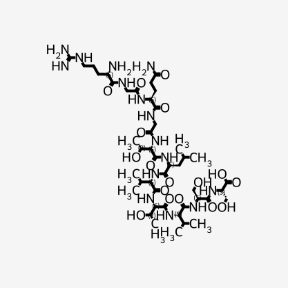 CC(C)C[C@H](NC(=O)[C@@H](NC(=O)CNC(=O)[C@H](CCC(N)=O)NC(=O)CNC(=O)[C@@H](N)CCCNC(=N)N)[C@@H](C)O)C(=O)N[C@H](C(=O)N[C@H](C(=O)N[C@H](C(=O)N[C@@H](CO)C(=O)N[C@@H](CO)C(=O)O)C(C)C)[C@@H](C)O)C(C)C